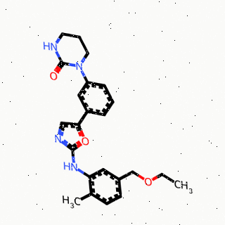 CCOCc1ccc(C)c(Nc2ncc(-c3cccc(N4CCCNC4=O)c3)o2)c1